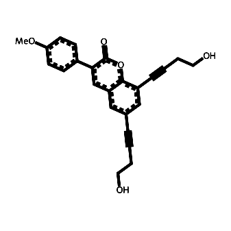 COc1ccc(-c2cc3cc(C#CCCO)cc(C#CCCO)c3oc2=O)cc1